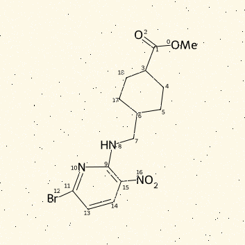 COC(=O)C1CCC(CNc2nc(Br)ccc2[N+](=O)[O-])CC1